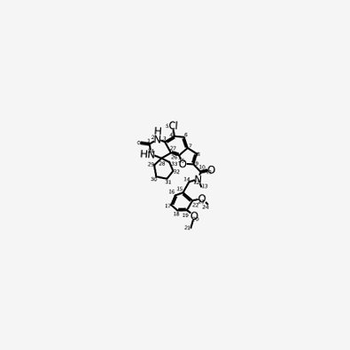 C=C1Nc2c(Cl)cc3cc(C(=O)N(C)Cc4cccc(OC)c4OC)oc3c2C2(CCCCC2)N1